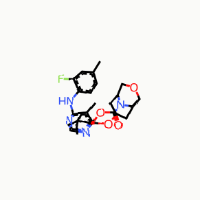 Cc1ccc(Nc2ncnc(OC3CC4COCC(C3)N4C(=O)OCC(C)(C)C)c2C)c(F)c1